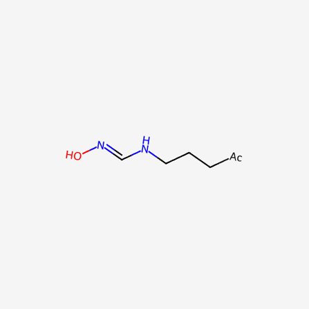 CC(=O)CCCNC=NO